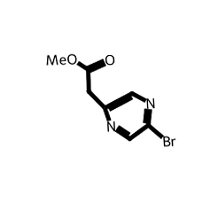 COC(=O)Cc1cnc(Br)cn1